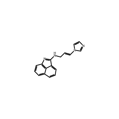 C(=Cn1ccnc1)CNC1=Nc2cccc3cccc1c23